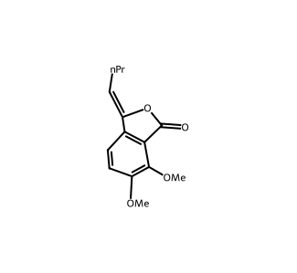 CCCC=C1OC(=O)c2c1ccc(OC)c2OC